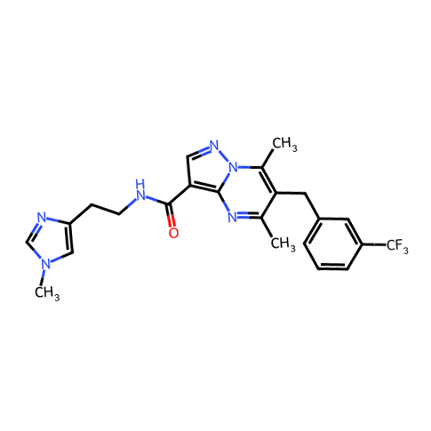 Cc1nc2c(C(=O)NCCc3cn(C)cn3)cnn2c(C)c1Cc1cccc(C(F)(F)F)c1